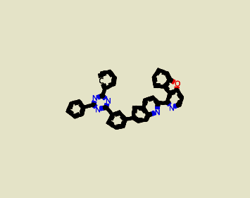 c1ccc(-c2nc(-c3ccccc3)nc(-c3cccc(-c4ccc5nc(-c6nccc7oc8ccccc8c67)ccc5c4)c3)n2)cc1